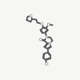 COc1cc(N2CCn3cc(-c4ccc(Cl)cc4)cc3C2=O)ccc1OCCC1CCCO1